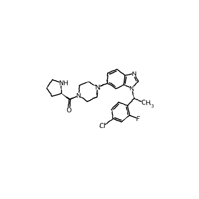 CC(c1ccc(Cl)cc1F)n1cnc2ccc(N3CCN(C(=O)[C@H]4CCCN4)CC3)cc21